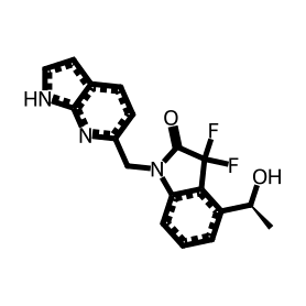 C[C@H](O)c1cccc2c1C(F)(F)C(=O)N2Cc1ccc2cc[nH]c2n1